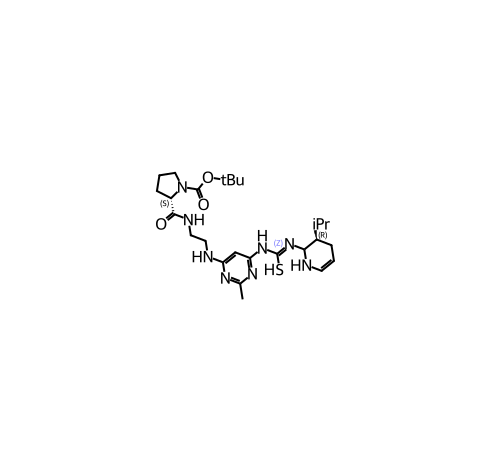 Cc1nc(NCCNC(=O)[C@@H]2CCCN2C(=O)OC(C)(C)C)cc(N/C(S)=N/C2NC=CC[C@@H]2C(C)C)n1